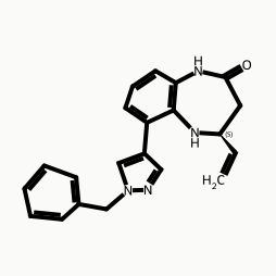 C=C[C@@H]1CC(=O)Nc2cccc(-c3cnn(Cc4ccccc4)c3)c2N1